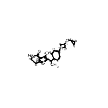 Cc1c([C@H](C)C2CCC(N3CC(OC4CC4)C3)CC2)sc2c1C(=O)NCC2